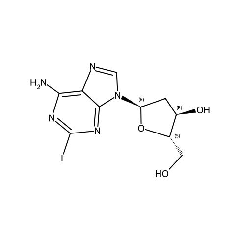 Nc1nc(I)nc2c1ncn2[C@H]1C[C@@H](O)[C@H](CO)O1